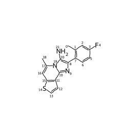 Cc1cc(F)ccc1-c1nc2c3ccsc3cc(C)n2c1N